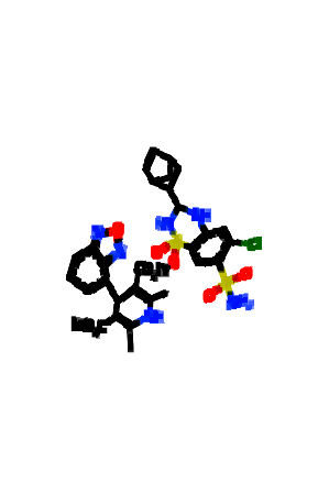 CCOC(=O)C1=C(C)NC(C)=C(C(=O)OCC)C1c1cccc2nonc12.NS(=O)(=O)c1cc2c(cc1Cl)NC(C1CC3C=CC1C3)NS2(=O)=O